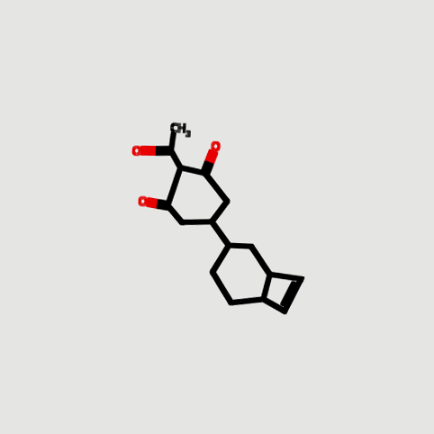 CC(=O)C1C(=O)CC(C2CCC3C=CC3C2)CC1=O